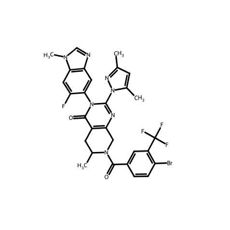 Cc1cc(C)n(-c2nc3c(c(=O)n2-c2cc4ncn(C)c4cc2F)CC(C)N(C(=O)c2ccc(Br)c(C(F)(F)F)c2)C3)n1